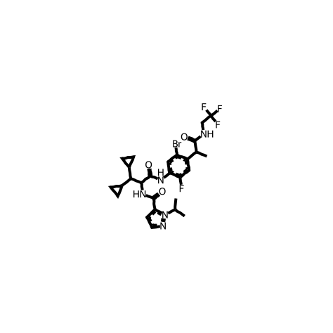 CC(C(=O)NCC(F)(F)F)c1cc(F)c(NC(=O)C(NC(=O)c2ccnn2C(C)C)C(C2CC2)C2CC2)cc1Br